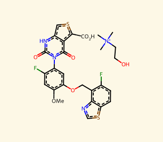 COc1cc(F)c(-n2c(=O)[nH]c3csc(C(=O)O)c3c2=O)cc1OCc1c(F)ccc2scnc12.C[N+](C)(C)CCO